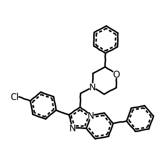 Clc1ccc(-c2nc3ccc(-c4ccccc4)cn3c2CN2CCOC(c3ccccc3)C2)cc1